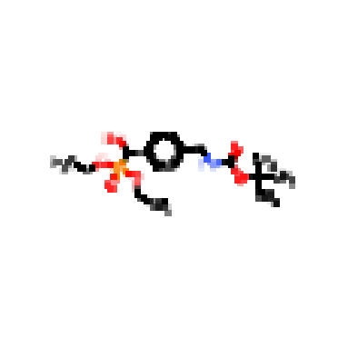 CCOP(=O)(OCC)C(O)c1ccc(CNC(=O)OC(C)(C)C)cc1